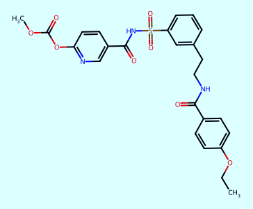 CCOc1ccc(C(=O)NCCc2cccc(S(=O)(=O)NC(=O)c3ccc(OC(=O)OC)nc3)c2)cc1